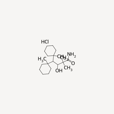 CC1(C(C(O)C(C)(C)C(N)=O)C2(C)CCCCC2)CCCCC1.Cl